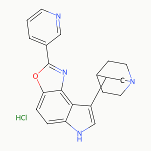 Cl.c1cncc(-c2nc3c(ccc4[nH]cc(C5CN6CCC5CC6)c43)o2)c1